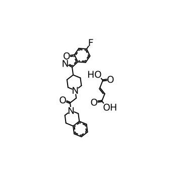 O=C(CN1CCC(c2noc3cc(F)ccc23)CC1)N1CCc2ccccc2C1.O=C(O)C=CC(=O)O